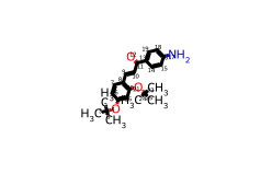 CC(C)(C)Oc1ccc(/C=C/C(=O)c2ccc(N)cc2)c(OC(C)(C)C)c1